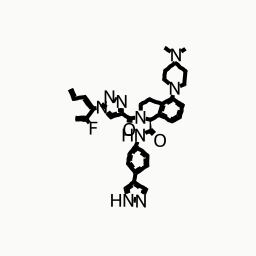 C=C/C=C(\C(=C)F)n1cc(C(=O)N2CCc3c(cccc3N3CCC(N(C)C)CC3)[C@H]2C(=O)Nc2ccc(-c3cn[nH]c3)cc2)nn1